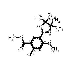 COC(=O)c1cc(B2OC(C)(C)C(C)(C)O2)c(OC)cc1Cl